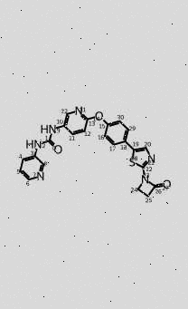 O=C(Nc1cccnc1)Nc1ccc(Oc2ccc(-c3cnc(N4CCC4=O)s3)cc2)nc1